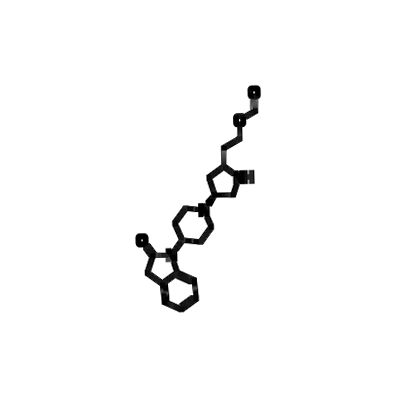 O=COCCC1C[C@H](N2CCC(N3C(=O)Cc4ccccc43)CC2)CN1